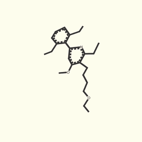 CCOCCCCc1c(OC)cc(-c2c(CC)cccc2CC)nc1CC